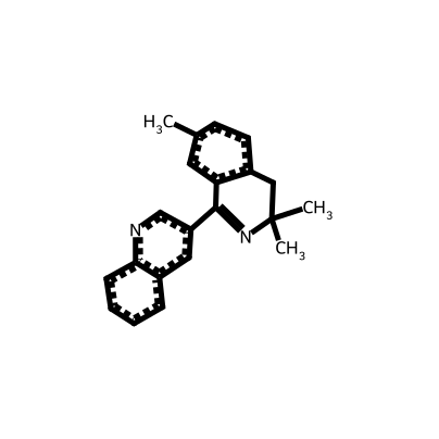 Cc1ccc2c(c1)C(c1cnc3ccccc3c1)=NC(C)(C)C2